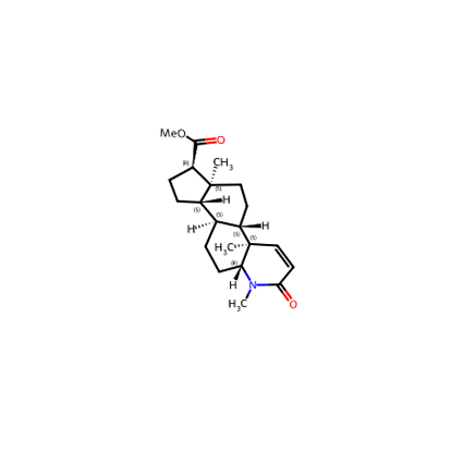 COC(=O)[C@@H]1CC[C@H]2[C@@H]3CC[C@H]4N(C)C(=O)C=C[C@]4(C)[C@H]3CC[C@]12C